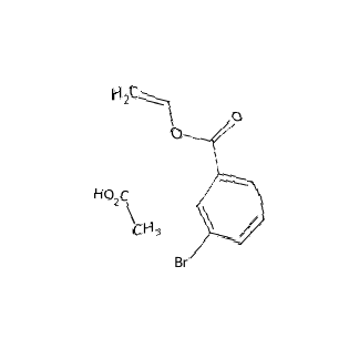 C=COC(=O)c1cccc(Br)c1.CC(=O)O